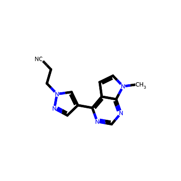 Cn1ccc2c(-c3cnn(CCC#N)c3)ncnc21